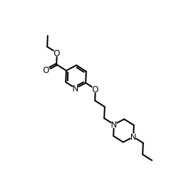 CCCN1CCN(CCCOc2ccc(C(=O)OCC)cn2)CC1